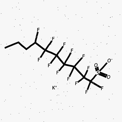 CCCC(F)C(F)(F)C(F)(F)C(F)(F)C(F)(F)C(F)(F)C(F)(F)S(=O)(=O)[O-].[K+]